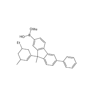 CCC1CC(C2(C)c3ccc(-c4ccccc4)cc3-c3ccc(B(O)OC)cc32)=CC(C)C1